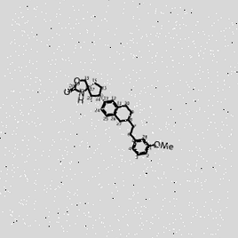 COc1cccc(CCC2CCc3cc([C@H]4CC[C@]5(COC(=O)N5)C4)ccc3C2)c1